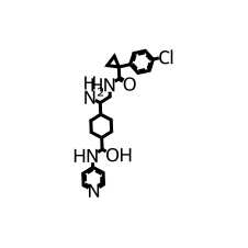 NC(CNC(=O)C1(c2ccc(Cl)cc2)CC1)C1CCC(C(O)Nc2ccncc2)CC1